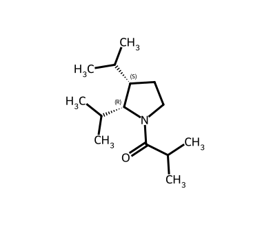 CC(C)C(=O)N1CC[C@@H](C(C)C)[C@H]1C(C)C